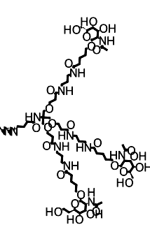 CC(=O)N[C@H]1[C@H](OCCCCC(=O)NCCCNC(=O)CCOCC(COCCC(=O)NCCCNC(=O)CCCCO[C@@H]2O[C@H](CO)[C@H](O)[C@H](O)[C@H]2NC(C)=O)(COCCC(=O)NCCCNC(=O)CCCCO[C@@H]2O[C@H](CCO)[C@H](O)[C@H](O)[C@H]2NC(C)=O)NC(=O)CCCN=[N+]=[N-])O[C@H](CO)[C@H](O)[C@@H]1O